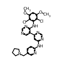 COc1cc(OC)c(Cl)c(Nc2ncncc2-c2cc(Nc3ccc(CN4CCCC4)cn3)ncn2)c1Cl